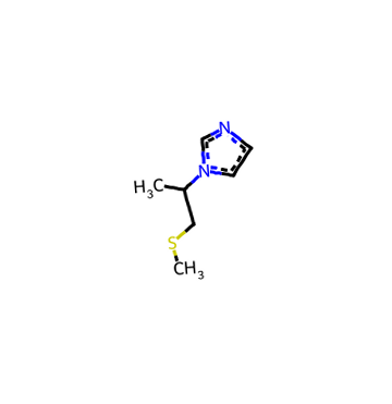 CSCC(C)n1ccnc1